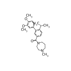 COc1ccc(-c2cc(C(=O)N3CCCN(C)CC3)ccc2C(C)C)cc1OC